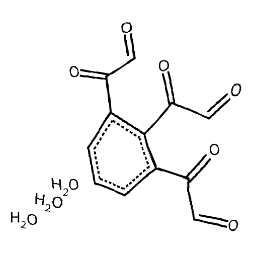 O.O.O.O=CC(=O)c1cccc(C(=O)C=O)c1C(=O)C=O